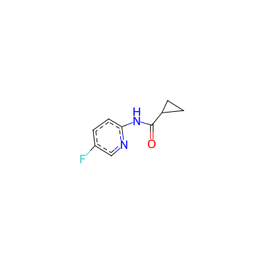 O=C(Nc1ccc(F)cn1)C1CC1